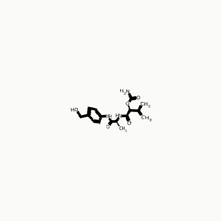 CC(C)[C@H](OC(N)=O)C(=O)N[C@@H](C)C(=O)Nc1ccc(CO)cc1